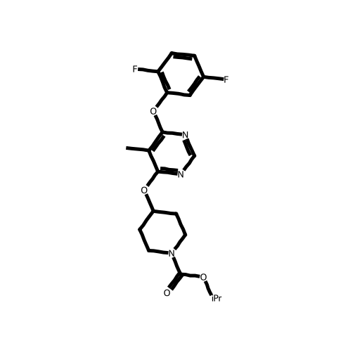 Cc1c(Oc2cc(F)ccc2F)ncnc1OC1CCN(C(=O)OC(C)C)CC1